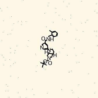 Cc1ccccc1CNC(=O)c1cncc(N2CC[C@H]3CN(C(=O)OC(C)(C)C)C[C@H]32)c1